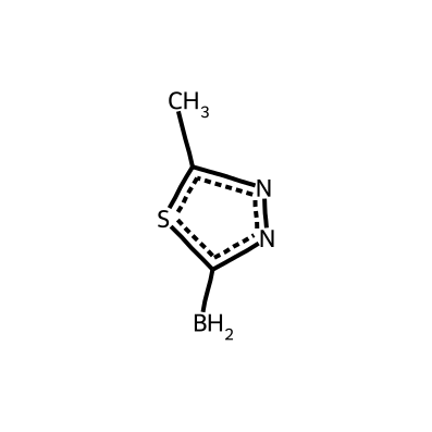 Bc1nnc(C)s1